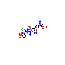 CNC(=O)c1cc(Nc2ncc(Cl)c(Nc3ccccc3S(=O)(=O)C(C)C)n2)c(OC(C)C)cc1C1=CCC(N[C@@H](C)CO)CC1